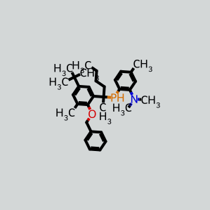 CCCCC(C)(Pc1ccc(C)cc1N(C)C)c1cc(C(C)(C)C)cc(C)c1OCc1ccccc1